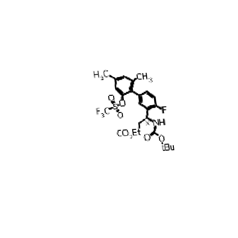 CCOC(=O)C[C@H](NC(=O)OC(C)(C)C)c1cc(-c2c(C)cc(C)cc2OS(=O)(=O)C(F)(F)F)ccc1F